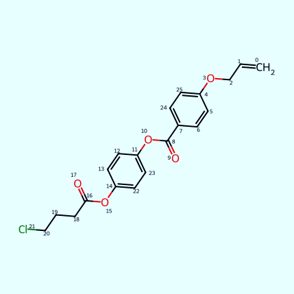 C=CCOc1ccc(C(=O)Oc2ccc(OC(=O)CCCCl)cc2)cc1